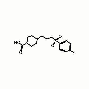 Cc1ccc(S(=O)(=O)CCCC2CCN(C(=O)O)CC2)cc1